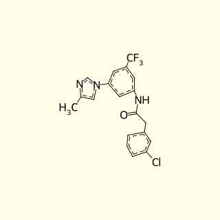 Cc1cn(-c2cc(NC(=O)Cc3cccc(Cl)c3)cc(C(F)(F)F)c2)cn1